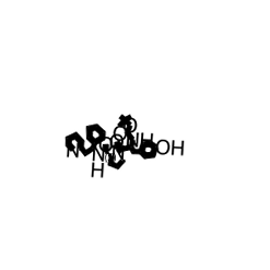 CC(C)(C)OC(=O)NC(Cc1ccc(O)cc1)C(=O)N1CCC[C@H]1C(=O)NC(Cc1ccccn1)c1ccccc1